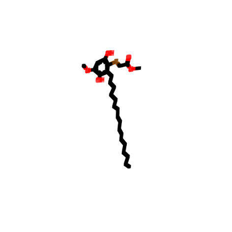 CCCCCCCCCCCCCCCCCc1c(O)c(OC)cc(O)c1SCC(=O)OC